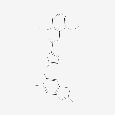 COc1cccc(OC)c1NC(=O)c1ccc(Oc2cc3sc(C)nc3cc2C)o1